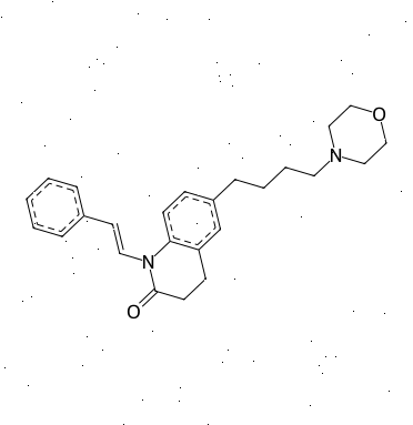 O=C1CCc2cc(CCCCN3CCOCC3)ccc2N1C=Cc1ccccc1